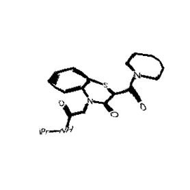 CC(C)NC(=O)CN1C(=O)C(C(=O)N2CCCCC2)Sc2ccccc21